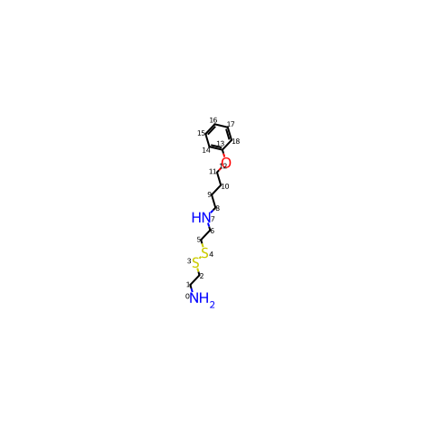 NCCSSCCNCCCCOc1ccccc1